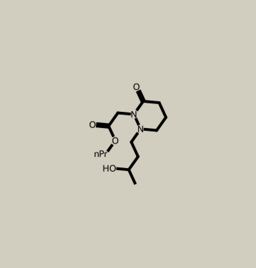 CCCOC(=O)CN1C(=O)CCCN1CCC(C)O